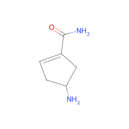 NC(=O)C1=CCC(N)C1